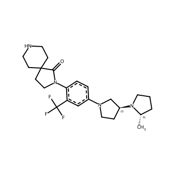 C[C@H]1CCCN1[C@H]1CCN(c2ccc(N3CCC4(CCNCC4)C3=O)c(C(F)(F)F)c2)C1